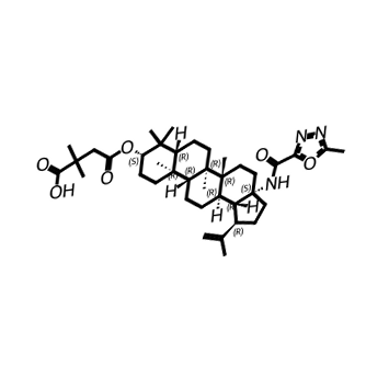 C=C(C)[C@@H]1CC[C@]2(NC(=O)c3nnc(C)o3)CC[C@]3(C)[C@H](CC[C@@H]4[C@@]5(C)CC[C@H](OC(=O)CC(C)(C)C(=O)O)C(C)(C)[C@@H]5CC[C@]43C)[C@@H]12